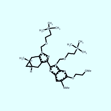 CNc1cc2nc(-c3nn(COCC[Si](C)(C)C)c4c3C[C@@H]3C[C@]3(C)C4)n(COCC[Si](C)(C)C)c2nc1OCCOC